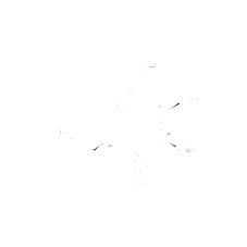 O=C1[C@@H](CO)O[C@H](O)[C@@H](O)[C@H]1O